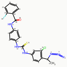 CC(N=[N+]=[N-])c1ccc(NC(=S)Nc2ccc(NC(=O)c3ccccc3F)cc2)cc1Cl